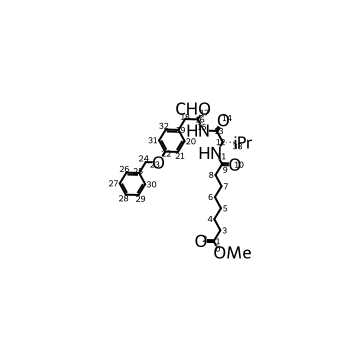 COC(=O)CCCCCCC(=O)N[C@H](C(=O)NC(C=O)Cc1ccc(OCc2ccccc2)cc1)C(C)C